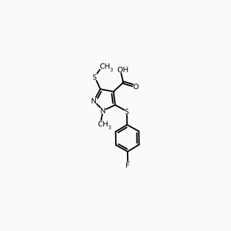 CSc1nn(C)c(Sc2ccc(F)cc2)c1C(=O)O